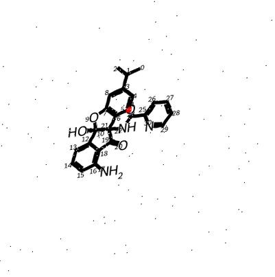 CC(C)c1ccc2c(c1)OC1(O)c3cccc(N)c3C(=O)C21NC(=O)c1ccccn1